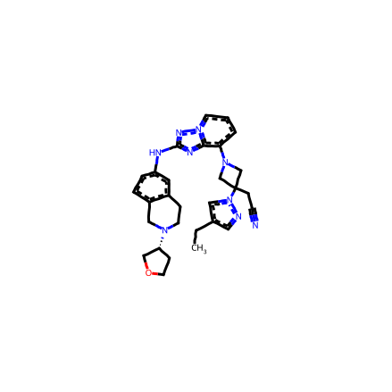 CCc1cnn(C2(CC#N)CN(c3cccn4nc(Nc5ccc6c(c5)CCN([C@@H]5CCOC5)C6)nc34)C2)c1